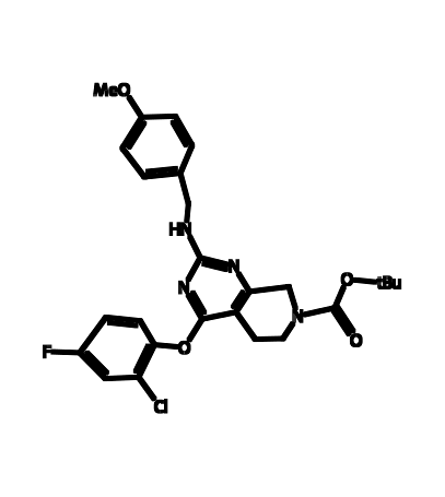 COc1ccc(CNc2nc3c(c(Oc4ccc(F)cc4Cl)n2)CCN(C(=O)OC(C)(C)C)C3)cc1